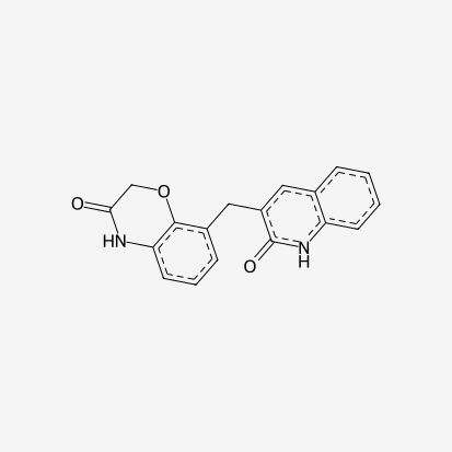 O=C1COc2c(Cc3cc4ccccc4[nH]c3=O)cccc2N1